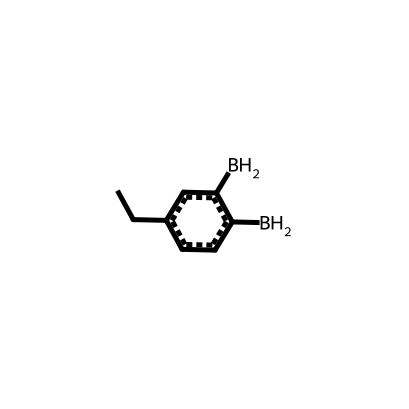 Bc1ccc(CC)cc1B